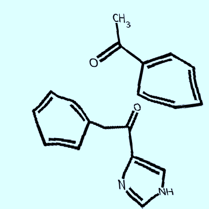 CC(=O)c1ccccc1.O=C(c1ccccc1)c1c[nH]cn1